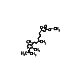 CCOC(=O)C=C(C)C=CC=C(C)C=Cc1c(C)sc(N(C)C)c1C